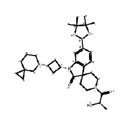 C[C@@H](O)C(=O)N1CCC2(CC1)C(=O)N([C@H]1C[C@@H](N3CCCC4(CC4)C3)C1)c1cc(B3OC(C)(C)C(C)(C)O3)ccc12